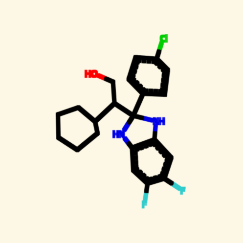 OCC(C1CCCCC1)C1(c2ccc(Cl)cc2)Nc2cc(F)c(F)cc2N1